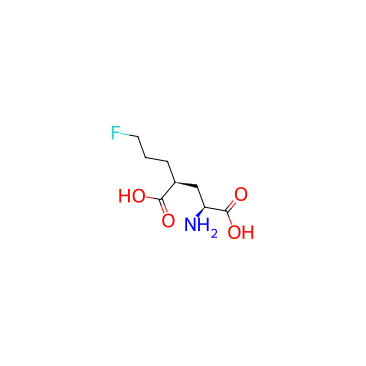 N[C@@H](C[C@H](CCCF)C(=O)O)C(=O)O